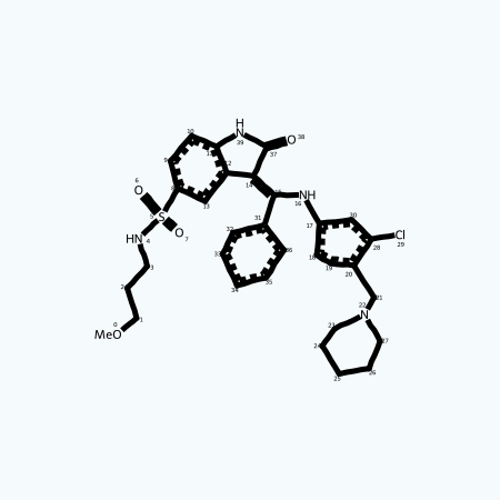 COCCCNS(=O)(=O)c1ccc2c(c1)/C(=C(/Nc1ccc(CN3CCCCC3)c(Cl)c1)c1ccccc1)C(=O)N2